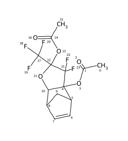 CC(=O)OC12C3C=CC(C3)C1OC(OC(C)=O)(C(F)(F)F)C2(F)F